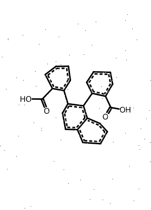 O=C(O)c1ccccc1-c1ccc2ccccc2c1-c1ccccc1C(=O)O